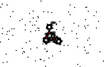 N[C@@H]1CCN(c2nc3ccccc3n(C3CC4CCC(C3)N4C3CCCCCCC3)c2=O)C1